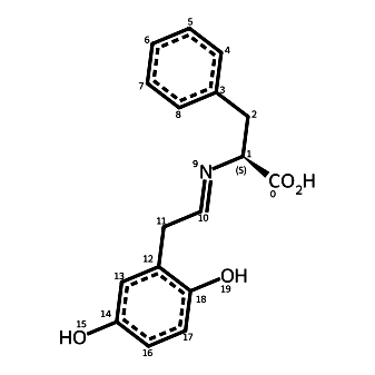 O=C(O)[C@H](Cc1ccccc1)N=CCc1cc(O)ccc1O